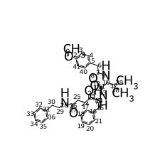 COc1ccc(CC(=O)NC(C(=O)N[C@@H](Cc2ccccc2)[C@@H](O)CCC(=O)NCCc2ccccc2)C(C)C)cc1